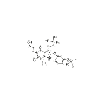 Cn1c2c(c(=O)n(CCCO)c1=O)N(CCC(F)(F)F)C(Oc1cccc(OC(F)(F)F)c1)N2